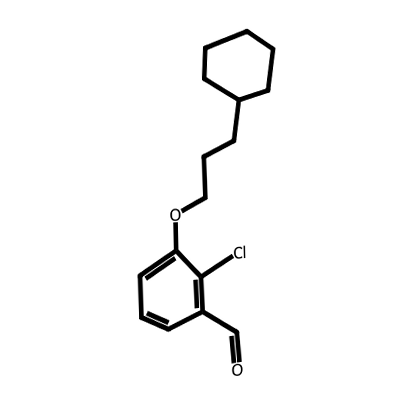 O=Cc1cccc(OCCCC2CCCCC2)c1Cl